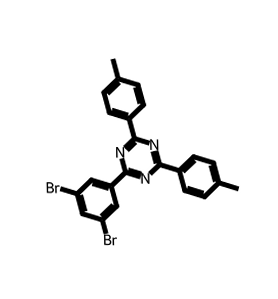 Cc1ccc(-c2nc(-c3ccc(C)cc3)nc(-c3cc(Br)cc(Br)c3)n2)cc1